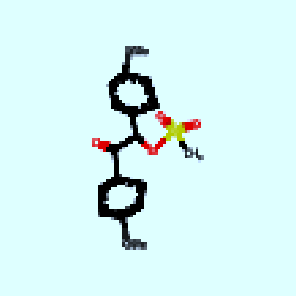 COc1ccc(C(=O)C(OS(C)(=O)=O)c2ccc(OC)cc2)cc1